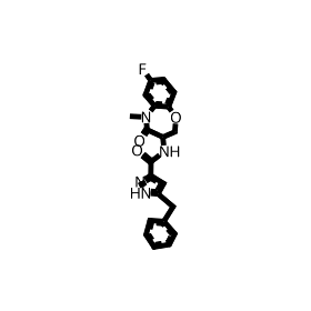 CN1C(=O)C(NC(=O)c2cc(Cc3ccccc3)[nH]n2)COc2ccc(F)cc21